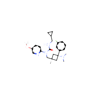 CN(C)[C@]1(c2cccc(F)c2)C[C@@](C)(CN(C(=O)NCC2CC2)c2ccc(OC(F)(F)F)cn2)C1